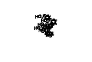 O=C(O)c1ccccc1.O=C(O)c1ccccc1.O=C(O)c1ccccc1.O=c1c2ccsc2ccn1[C@@H]1O[C@H](CO)[C@@H](O)[C@H]1O